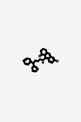 O=C1CCCc2nc3cc(Cl)ccc3c(NCCCC(c3ccccc3)c3ccccc3)c21